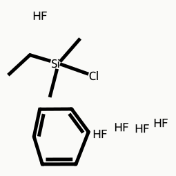 CC[Si](C)(C)Cl.F.F.F.F.F.c1ccccc1